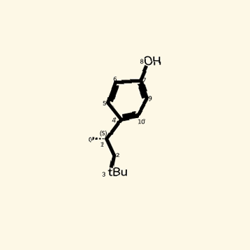 C[C@@H](CC(C)(C)C)c1ccc(O)cc1